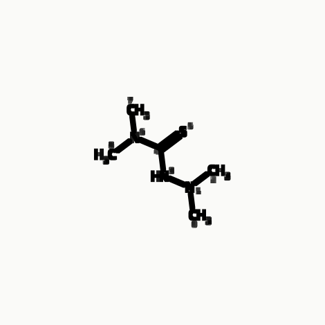 CN(C)NC(=S)N(C)C